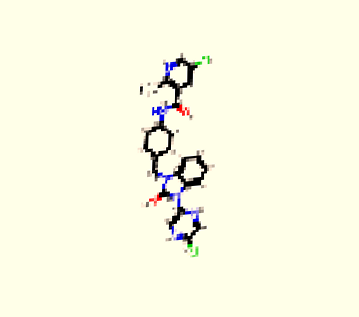 Cc1ncc(Cl)cc1C(=O)NC1CCC(Cn2c(=O)n(-c3cnc(Cl)cn3)c3ccccc32)CC1